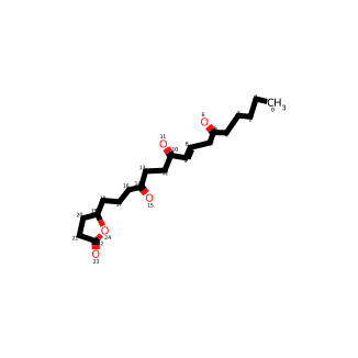 CCCCCC(=O)CC=CC(=O)CCC(=O)CCCC1CCC(=O)O1